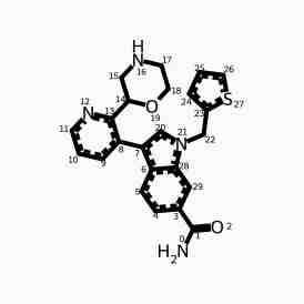 NC(=O)c1ccc2c(-c3cccnc3C3CNCCO3)cn(Cc3cccs3)c2c1